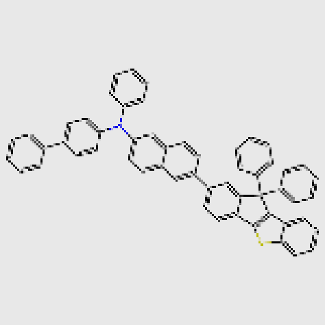 c1ccc(-c2ccc(N(c3ccccc3)c3ccc4cc(-c5ccc6c(c5)C(c5ccccc5)(c5ccccc5)c5c-6sc6ccccc56)ccc4c3)cc2)cc1